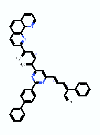 C=C/C(=C\C=C\c1cc(C(=C)/C=C\C(=C)c2ccc3c(n2)C2N=CC=CC2C=C3)nc(-c2ccc(-c3ccccc3)cc2)n1)c1ccccc1